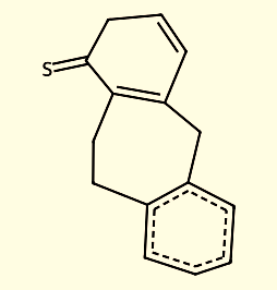 S=C1CC=CC2=C1CCc1ccccc1C2